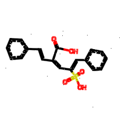 O=C(O)C(C=Cc1ccccc1)=CC(=Cc1ccccc1)S(=O)(=O)O